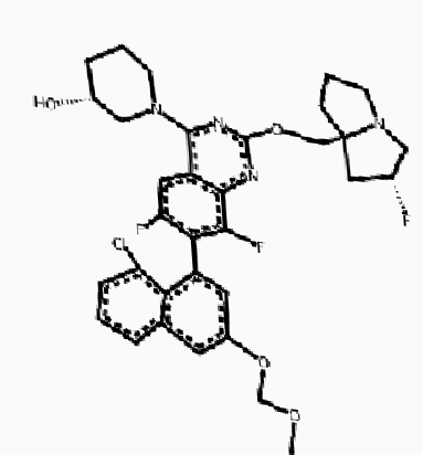 COCOc1cc(-c2c(F)cc3c(N4CCC[C@@H](O)C4)nc(OC[C@@]45CCCN4C[C@H](F)C5)nc3c2F)c2c(Cl)cccc2c1